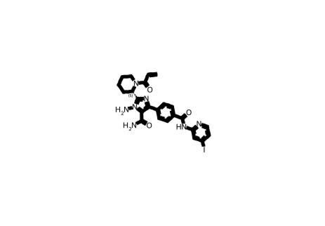 C=CC(=O)N1CCCC[C@H]1c1nc(-c2ccc(C(=O)Nc3cc(I)ccn3)cc2)c(C(N)=O)n1N